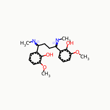 C/N=C(/CC/C(=N/C)c1cccc(OC)c1O)c1cccc(OC)c1O